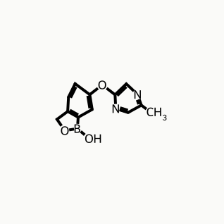 Cc1cnc(Oc2ccc3c(c2)B(O)OC3)cn1